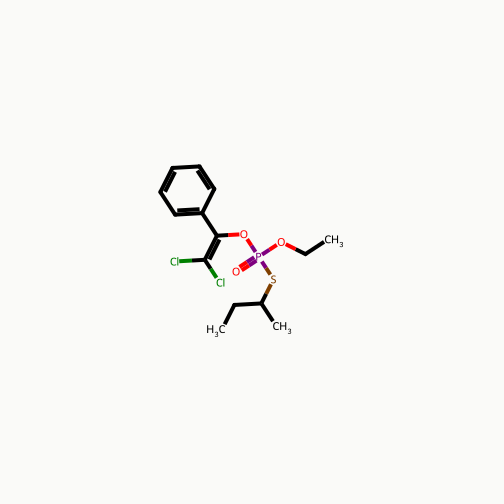 CCOP(=O)(OC(=C(Cl)Cl)c1ccccc1)SC(C)CC